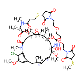 COc1cc2cc(c1Cl)N(C)C(=O)C[C@H](OC(=O)[C@H](C)N(C)C(=O)CCSC1CC(=O)N(CCOCCOCCN3C(=O)CC(SC)C3=O)C1=O)[C@]1(C)O[C@H]1[C@H](C)[C@@H]1C[C@@](O)(NC(=O)O1)[C@H](OC)/C=C/C=C(\C)C2